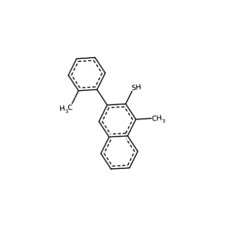 Cc1ccccc1-c1cc2ccccc2c(C)c1S